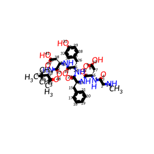 CNCC(=O)N[C@@H](CC(=O)O)C(=O)N[C@@H](Cc1ccccc1)C(=O)N[C@@H](Cc1ccc(O)cc1)C(=O)N[C@@H](CC(=O)O)C(=O)N[C@H](C(C)=O)C(C)(C)C